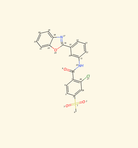 CS(=O)(=O)c1ccc(C(=O)Nc2cccc(-c3nc4ccccc4o3)c2)c(Cl)c1